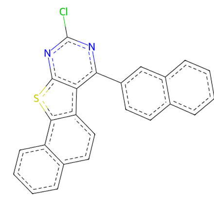 Clc1nc(-c2ccc3ccccc3c2)c2c(n1)sc1c3ccccc3ccc12